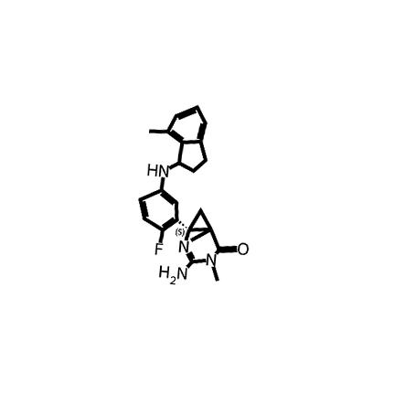 Cc1cccc2c1C(Nc1ccc(F)c([C@]34CC3(C)C(=O)N(C)C(N)=N4)c1)CC2